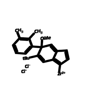 COC1(c2cccc(C)c2C)C=C2C=C[C]([Zr+2])=C2C=C1C(C)(C)C.[Cl-].[Cl-]